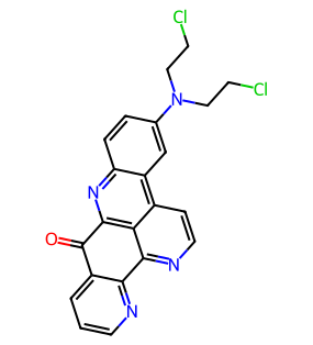 O=C1c2cccnc2-c2nccc3c2c1nc1ccc(N(CCCl)CCCl)cc13